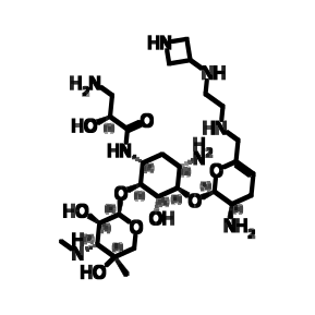 CN[C@@H]1[C@@H](O)[C@@H](O[C@@H]2[C@@H](O)[C@H](O[C@H]3OC(CNCCNC4CNC4)=CC[C@H]3N)[C@@H](N)C[C@H]2NC(=O)[C@@H](O)CN)OC[C@]1(C)O